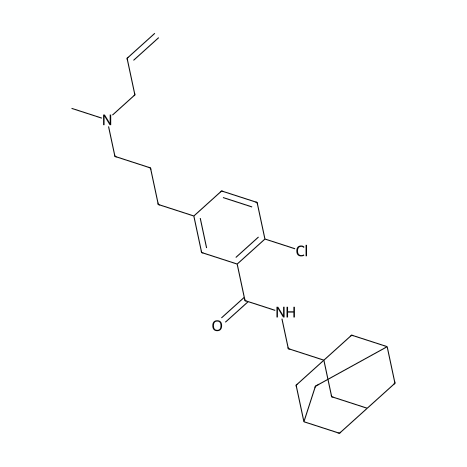 C=CCN(C)CCCc1ccc(Cl)c(C(=O)NCC23CC4CC(CC(C4)C2)C3)c1